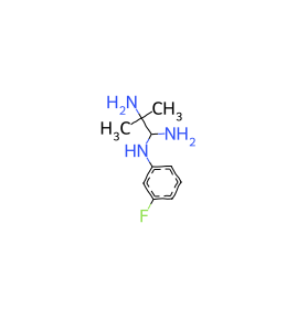 CC(C)(N)C(N)Nc1cccc(F)c1